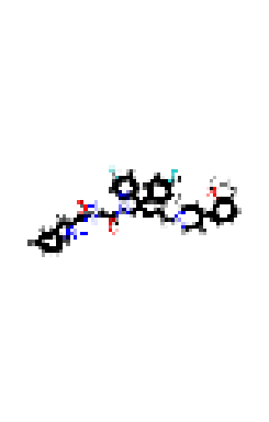 COc1ccccc1C1CCN(CCCC(CNC(=O)CNC(=O)c2cc3ccccc3[nH]2)(c2ccc(F)cc2)c2ccc(F)cc2)CC1